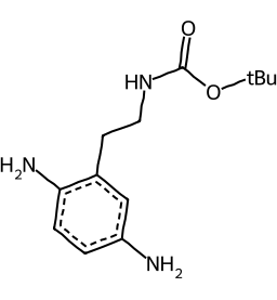 CC(C)(C)OC(=O)NCCc1cc(N)ccc1N